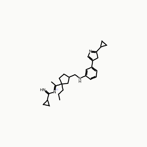 CCCC1(/C(C)=N/C(=N)C2CC2)CCC(CNc2cccc(C3=CN=C(C4CC4)C3)c2)C1